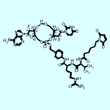 CC(C)C(NC(=O)CCCCCN1C(=O)C=CC1=O)C(=O)NC(CCCNC(N)=O)C(=O)Nc1ccc(CSP2(=O)OC[C@H]3O[C@@H](n4cnc5c(N)ncnc54)[C@H](F)[C@@H]3OPOC[C@H]3O[C@@H](n4ccc(=O)[nH]c4=O)[C@H](F)[C@@H]3O2)cc1